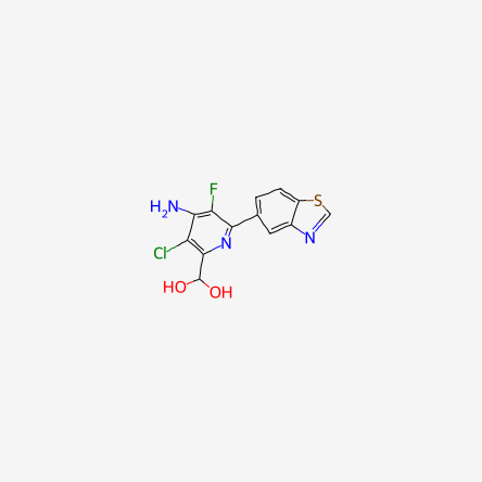 Nc1c(F)c(-c2ccc3scnc3c2)nc(C(O)O)c1Cl